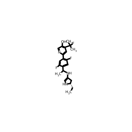 CC[C@H]1CC(NC(C)c2cc(F)c(-c3cc(C(C)(C)F)c(O)cn3)cc2F)=CN1